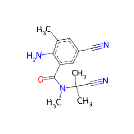 Cc1cc(C#N)cc(C(=O)N(C)C(C)(C)C#N)c1N